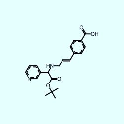 CC(C)(C)OC(=O)C(NC/C=C/c1ccc(C(=O)O)cc1)c1cccnc1